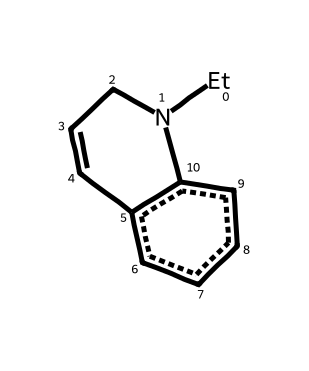 CCN1CC=Cc2ccccc21